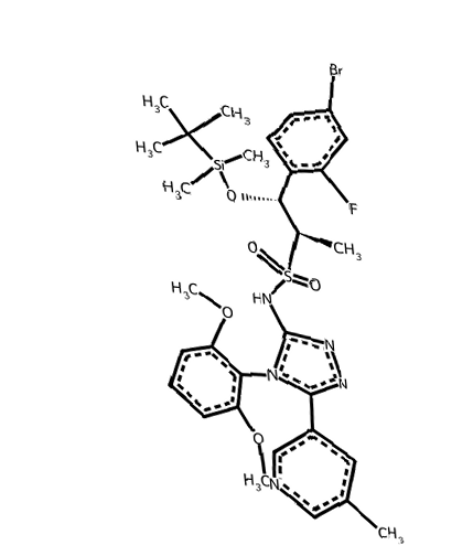 COc1cccc(OC)c1-n1c(NS(=O)(=O)[C@H](C)[C@H](O[Si](C)(C)C(C)(C)C)c2ccc(Br)cc2F)nnc1-c1cncc(C)c1